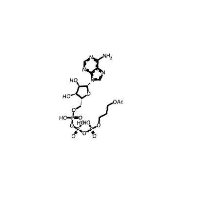 CC(=O)OCCCOP(=O)(O)OP(=O)(O)OP(=O)(O)OC[C@H]1O[C@@H](n2cnc3c(N)ncnc32)[C@H](O)[C@@H]1O